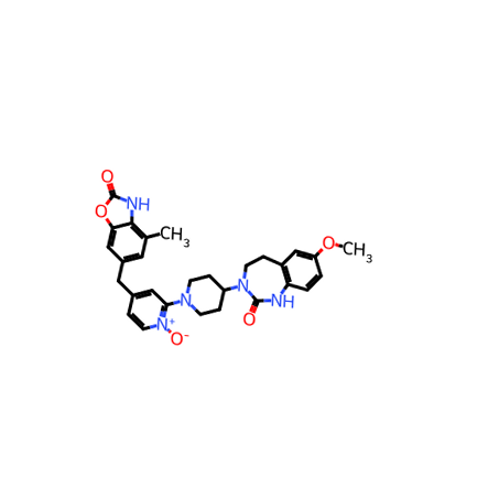 COc1ccc2c(c1)CCN(C1CCN(c3cc(Cc4cc(C)c5[nH]c(=O)oc5c4)cc[n+]3[O-])CC1)C(=O)N2